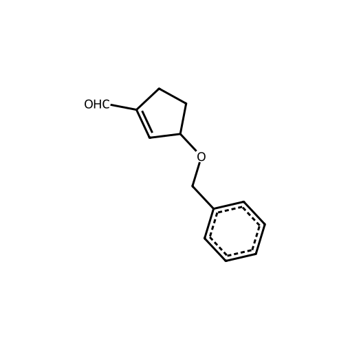 O=CC1=CC(OCc2ccccc2)CC1